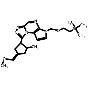 COC=C1CC(C)C(c2nnc3cnc4c(ccn4COCC[Si](C)(C)C)n23)C1